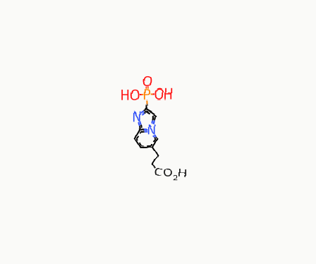 O=C(O)CCc1ccc2nc(P(=O)(O)O)cn2c1